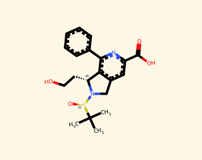 CC(C)(C)[S@@+]([O-])N1Cc2cc(C(=O)O)nc(-c3ccccc3)c2[C@H]1CCO